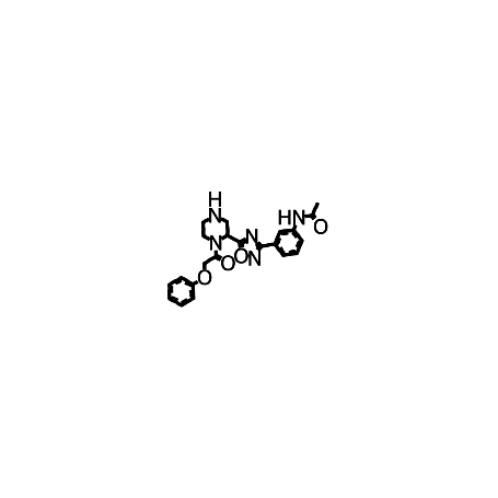 CC(=O)Nc1cccc(-c2noc(C3CNCCN3C(=O)COc3ccccc3)n2)c1